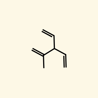 C=CC(C=C)C(=C)C